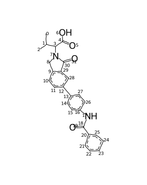 CC(C)C(C(=O)O)N1Cc2ccc(-c3ccc(NC(=O)c4ccccc4)cc3)cc2C1=O